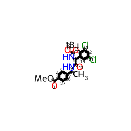 COC(=O)c1ccc([C@@H](C)NC(=O)[C@@H](NC(=O)OC(C)(C)C)c2cc(Cl)cc(Cl)c2)cc1